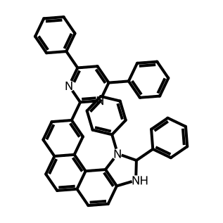 c1ccc(-c2cc(-c3ccccc3)nc(-c3ccc4ccc5ccc6c(c5c4c3)N(c3ccccc3)C(c3ccccc3)N6)n2)cc1